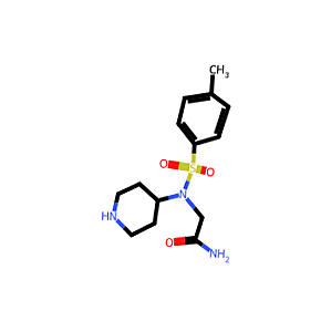 Cc1ccc(S(=O)(=O)N(CC(N)=O)C2CCNCC2)cc1